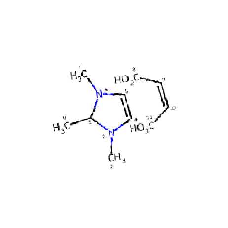 CC1N(C)C=CN1C.O=C(O)/C=C\C(=O)O